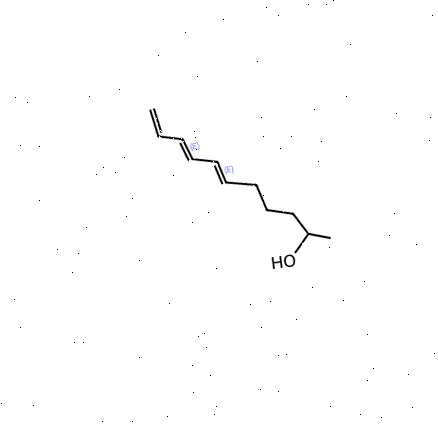 C=C/C=C/C=C/CCCC(C)O